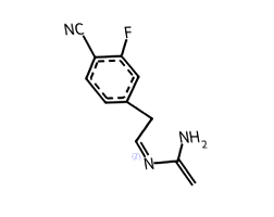 C=C(N)/N=C\Cc1ccc(C#N)c(F)c1